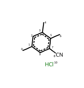 Cc1cc(C)c(C)c(C#N)c1.Cl